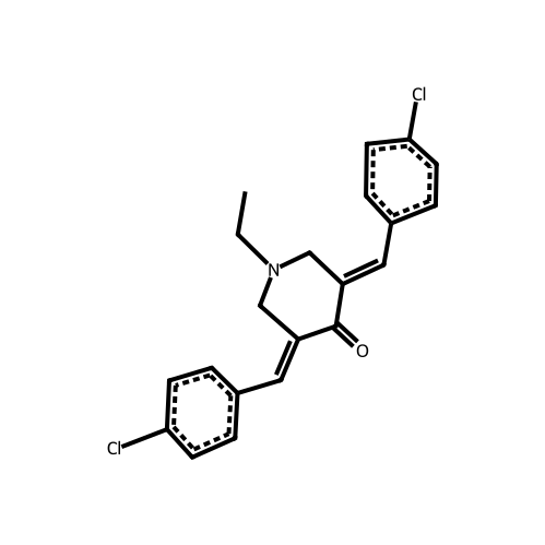 CCN1C/C(=C\c2ccc(Cl)cc2)C(=O)/C(=C/c2ccc(Cl)cc2)C1